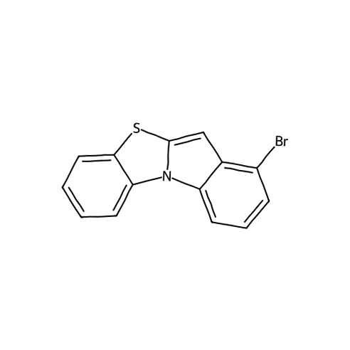 Brc1cccc2c1cc1sc3ccccc3n12